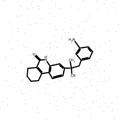 CC(C#N)(Cc1cccc(N)c1)c1ccc2c3c(c(=O)[nH]c2c1)CCCC3